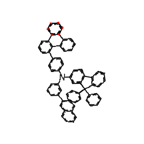 c1ccc(-c2ccccc2-c2c(-c3ccccc3)cccc2-c2ccc(N(c3cccc(-c4ccc5ccccc5c4)c3)c3ccc4c(c3)C(c3ccccc3)(c3ccccc3)c3ccccc3-4)cc2)cc1